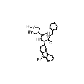 CCn1c2ccccc2c2cc(C(NC(=O)[C@@H](CC(=O)O)CC(C)C)C(=O)NCc3ccccc3)ccc21